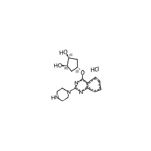 Cl.O[C@@H]1C[C@@H](Oc2nc(N3CCNCC3)nc3ccccc23)C[C@@H]1O